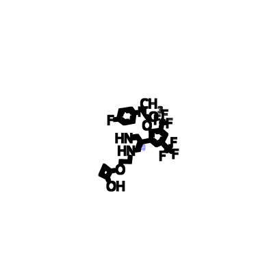 CN(C(=O)Oc1c(/C(C=N)=C/NCCOC2CCC2O)cc(C(F)(F)F)cc1C(F)(F)F)c1ccc(F)cc1